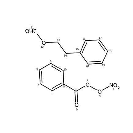 O=C(OO[N+](=O)[O-])c1ccccc1.O=COCCc1ccccc1